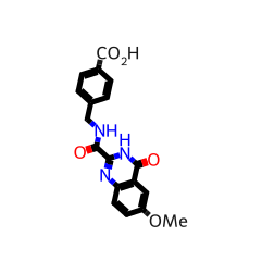 COc1ccc2nc(C(=O)NCc3ccc(C(=O)O)cc3)[nH]c(=O)c2c1